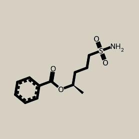 C[C@H](CCCS(N)(=O)=O)OC(=O)c1ccccc1